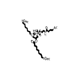 CCCCCCCCCCCCCCCCCC(=O)OC(COP(=O)(O)OCCNC(=O)CCCC(C)=O)[CH2][Co](=[O])[CH2]CCCCCCCCCCCCCCCC